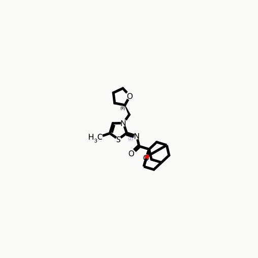 Cc1cn(C[C@H]2CCCO2)/c(=N/C(=O)C23CC4CC(CC(C4)O2)C3)s1